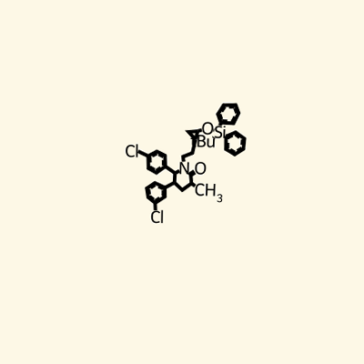 CC1CC(c2cccc(Cl)c2)C(c2ccc(Cl)cc2)N(CCC2CC2O[Si](c2ccccc2)(c2ccccc2)C(C)(C)C)C1=O